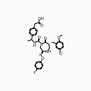 COc1ccc(Cl)cc1C[C@@H]1CN/C(=N\Oc2ccc(F)cc2)CN(C(=O)NC(C)c2ccc(CC(=O)O)cc2)C1=O